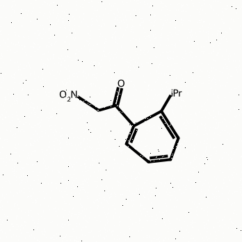 CC(C)c1ccccc1C(=O)C[N+](=O)[O-]